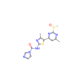 Cc1cc(-c2sc(NC(=O)n3ccnc3)nc2C)nc([S+](C)[O-])n1